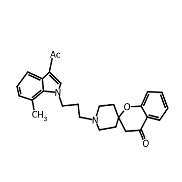 CC(=O)c1cn(CCCN2CCC3(CC2)CC(=O)c2ccccc2O3)c2c(C)cccc12